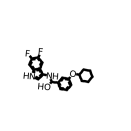 OC(Nc1c[nH]c2cc(F)c(F)cc12)c1cccc(OC2CCCCC2)c1